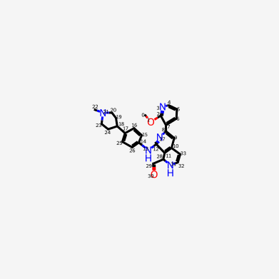 COc1ncccc1-c1cc2c(c(Nc3ccc(C4CCN(C)CC4)cc3)n1)C(C=O)NC=C2